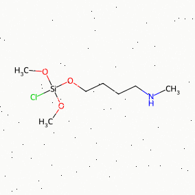 CNCCCCO[Si](Cl)(OC)OC